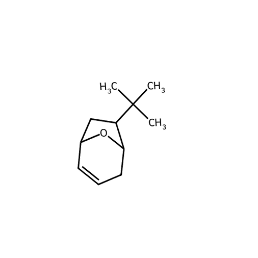 CC(C)(C)C1CC2C=CCC1O2